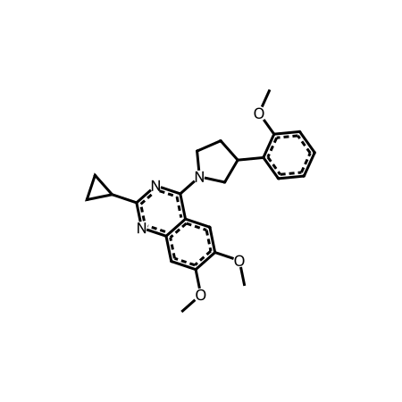 COc1cc2nc(C3CC3)nc(N3CCC(c4ccccc4OC)C3)c2cc1OC